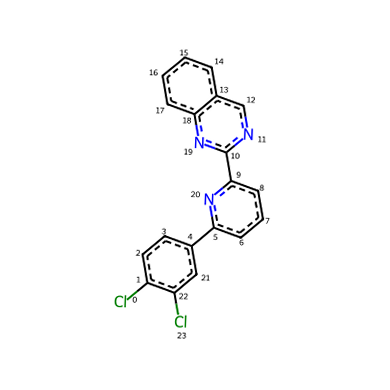 Clc1ccc(-c2cccc(-c3ncc4ccccc4n3)n2)cc1Cl